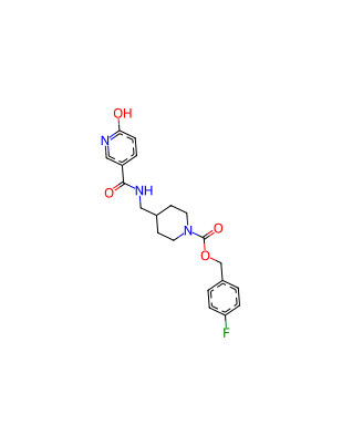 O=C(NCC1CCN(C(=O)OCc2ccc(F)cc2)CC1)c1ccc(O)nc1